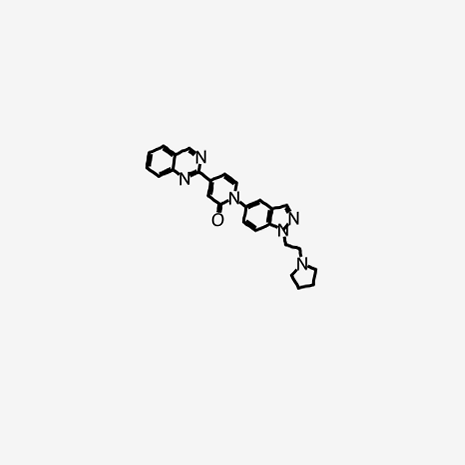 O=c1cc(-c2ncc3ccccc3n2)ccn1-c1ccc2c(cnn2CCN2CCCC2)c1